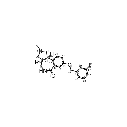 CN1C[C@@H]2CNC(=O)c3cc(OCc4cccc(F)c4)ccc3[C@H]2C1